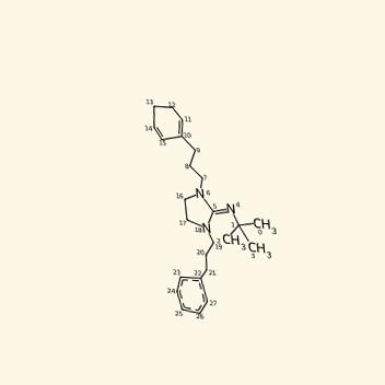 CC(C)(C)N=C1N(CCCC2=CCCC=C2)CCN1CCCc1ccccc1